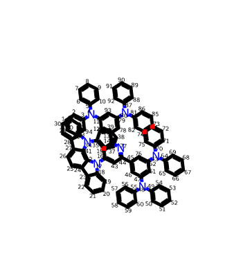 c1ccc(N(c2ccccc2)c2cc(-c3cc(-n4c5ccccc5c5ccc6c7ccccc7n(-c7ccccc7)c6c54)cc(-c4cc(N(c5ccccc5)c5ccccc5)cc(N(c5ccccc5)c5ccccc5)c4)n3)cc(N(c3ccccc3)c3ccccc3)c2)cc1